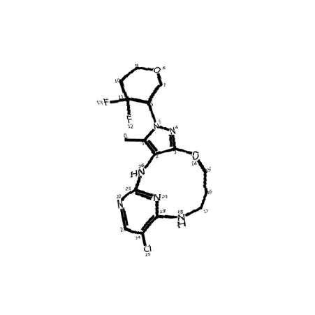 Cc1c2c(nn1C1COCCC1(F)F)OCCCNc1nc(ncc1Cl)N2